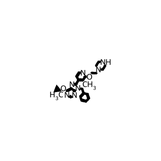 Cc1c(-c2nc3c(OC4(C)CC4)ncnc3n2Cc2ccccc2)ccnc1OCCN1CCNCC1